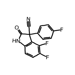 N#CC1(c2ccc(F)cc2)C(=O)Nc2ccc(F)c(F)c21